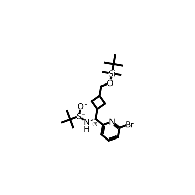 CC(C)(C)[S+]([O-])N[C@@H](c1cccc(Br)n1)C1CC(CO[Si](C)(C)C(C)(C)C)C1